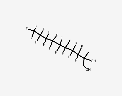 CC(O)(CO)C(F)(F)C(F)(F)C(F)(F)C(F)(F)C(F)(F)C(F)(F)C(F)(F)C(F)(F)F